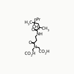 CCCC(C)(C)CC(C)C(=O)NCCC(=O)N(CC(=O)O)CC(=O)O